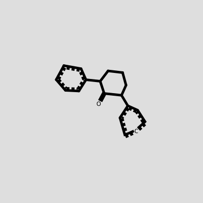 O=C1C(c2ccccc2)CCCC1c1ccccc1